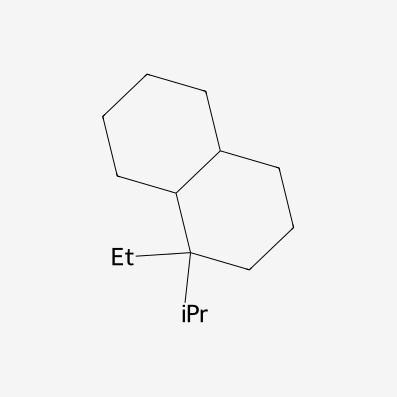 CCC1(C(C)C)CCCC2CCCCC21